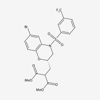 COC(=O)C(C[C@H]1CN(S(=O)(=O)c2cccc(C(F)(F)F)c2)c2cc(Br)ccc2O1)C(=O)OC